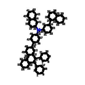 c1ccc(-c2c(-c3ccccc3)c3cc(-c4ccc(N(c5cccc(-c6cccc7ccccc67)c5)c5ccc6ccccc6c5)cc4)ccc3c3ccccc23)cc1